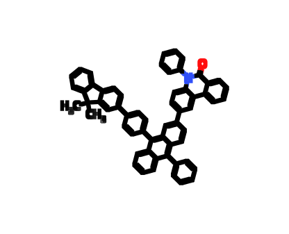 CC1(C)c2ccccc2-c2ccc(-c3ccc(-c4c5ccccc5c(-c5ccccc5)c5ccc(-c6ccc7c(c6)c6ccccc6c(=O)n7-c6ccccc6)cc45)cc3)cc21